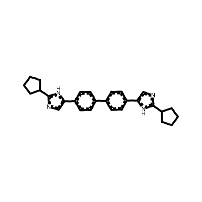 c1cc(-c2cnc(C3CCCC3)[nH]2)ccc1-c1ccc(-c2cnc(C3CCCC3)[nH]2)cc1